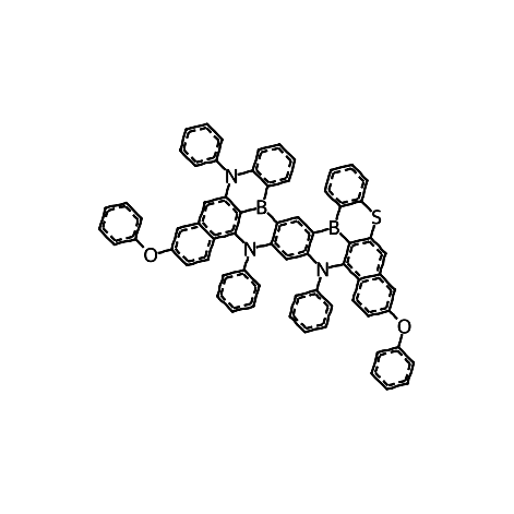 c1ccc(Oc2ccc3c4c5c(cc3c2)Sc2ccccc2B5c2cc3c(cc2N4c2ccccc2)N(c2ccccc2)c2c4c(cc5cc(Oc6ccccc6)ccc25)N(c2ccccc2)c2ccccc2B34)cc1